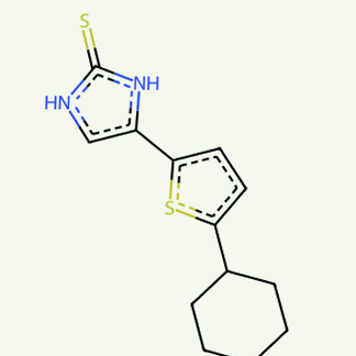 S=c1[nH]cc(-c2ccc(C3CCCCC3)s2)[nH]1